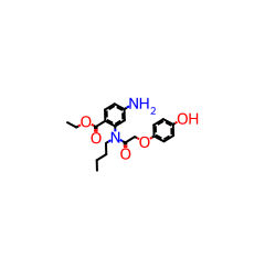 CCCCN(C(=O)COc1ccc(O)cc1)c1cc(N)ccc1C(=O)OCC